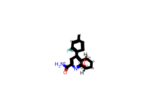 Cc1ccc(-c2cc(C(N)=O)nc3c2[C@@H]2CC[C@H]3O2)c(F)c1